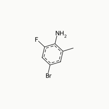 Cc1cc(Br)cc(F)c1N